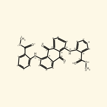 COC(=O)c1ccccc1Nc1cccc2c1C(=O)c1cccc(Nc3ccccc3C(=O)OC)c1C2=O